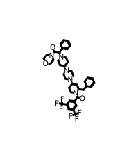 O=C(C(c1ccccc1)N1CCC(N2CCN(C3CCN(C(=O)c4cc(C(F)(F)F)cc(C(F)(F)F)c4)C(CC4C=CC=CC4)C3)CC2)CC1)N1CCOCC1